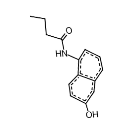 CCCC(=O)Nc1cccc2cc(O)ccc12